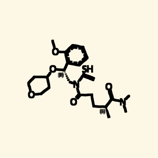 C=C(S)N(C[C@H](OC1CCOCC1)c1ccccc1OC)C(=O)CC[C@H](C)C(=O)N(C)C